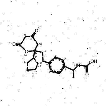 CC(NC(=O)O)c1ccc(CCC2(C3CCCC3)CC(=O)CC(=O)O2)cc1